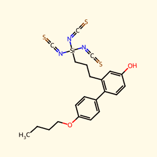 CCCCOc1ccc(-c2ccc(O)cc2CCC[Si](N=C=S)(N=C=S)N=C=S)cc1